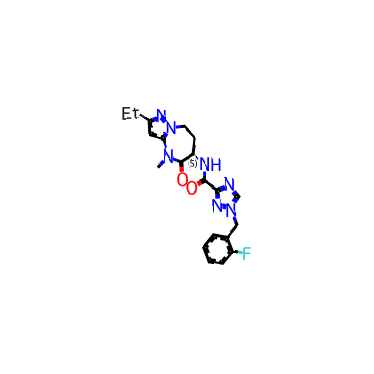 CCc1cc2n(n1)CC[C@H](NC(=O)c1ncn(Cc3ccccc3F)n1)C(=O)N2C